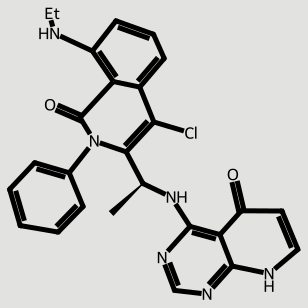 CCNc1cccc2c(Cl)c([C@H](C)Nc3ncnc4[nH]ccc(=O)c34)n(-c3ccccc3)c(=O)c12